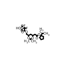 CC(C)C1(OC(=O)CC2CC(COC(=O)C(F)(F)S(=O)(=O)O)OC(C)(C)O2)CCCC1